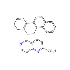 C1=CC2=C(CC1)CCc1c2ccc2ccccc12.O=C(O)c1ccc2cnccc2n1